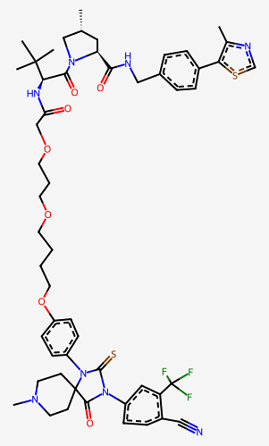 Cc1ncsc1-c1ccc(CNC(=O)[C@@H]2C[C@@H](C)CN2C(=O)[C@@H](NC(=O)COCCCOCCCCOc2ccc(N3C(=S)N(c4ccc(C#N)c(C(F)(F)F)c4)C(=O)C34CCN(C)CC4)cc2)C(C)(C)C)cc1